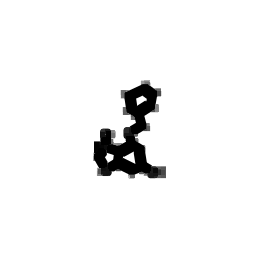 O=[PH]1COc2cc(O)cc(OCc3ccccc3)c21